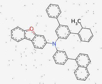 CC1CC=CC=C1c1cc(-c2ccccc2)cc(N(c2cccc(-c3cccc4ccccc34)c2)c2ccc3c(c2)oc2ccccc23)c1